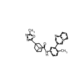 Cc1nnc(C23CCCC(C2)N3C(=O)Nc2ccc(C)c(-c3cnc4cccn4c3)c2)o1